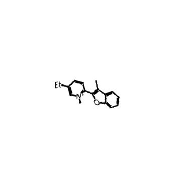 CCc1ccc(-c2oc3ccccc3c2C)[n+](C)c1